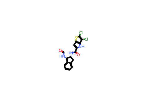 O=CN[C@@H]1c2ccccc2C[C@H]1NC(=O)c1cc2sc(Cl)c(Cl)c2[nH]1